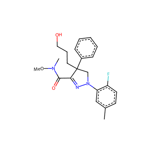 CON(C)C(=O)C1=NN(c2cc(C)ccc2F)CC1(CCCO)c1ccccc1